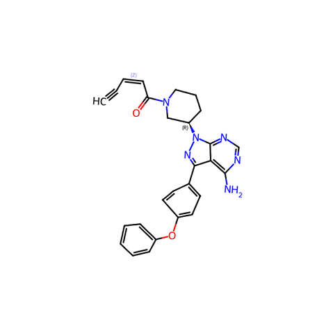 C#C/C=C\C(=O)N1CCC[C@@H](n2nc(-c3ccc(Oc4ccccc4)cc3)c3c(N)ncnc32)C1